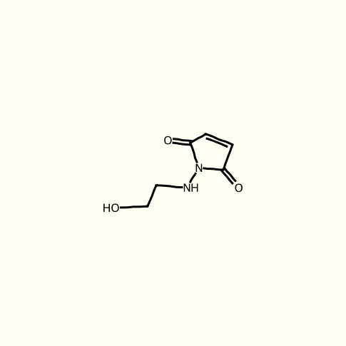 O=C1C=CC(=O)N1NCCO